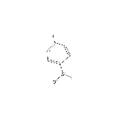 Cc1ccc([S+]([O-])I)cc1